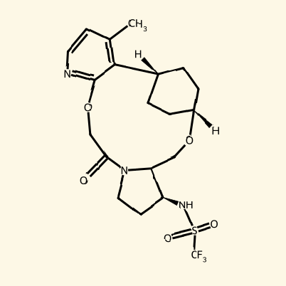 Cc1ccnc2c1[C@H]1CC[C@H](CC1)OCC1[C@@H](NS(=O)(=O)C(F)(F)F)CCN1C(=O)CO2